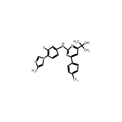 Cc1cn(-c2ccc(Nc3nc(-c4ccc(C(F)(F)F)cc4)cc(C(C)(C)O)n3)cc2F)cn1